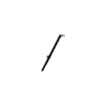 CCCCCCC=CCCCCCCCCCCCC(=O)OCCCCCCCCCCCCCCCCCCCCCCCCCCCCCO